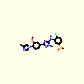 COc1cc(-c2nc(Nc3cc([S+](C)[O-])ccc3F)n(C)n2)ccc1-n1cnc(C)c1